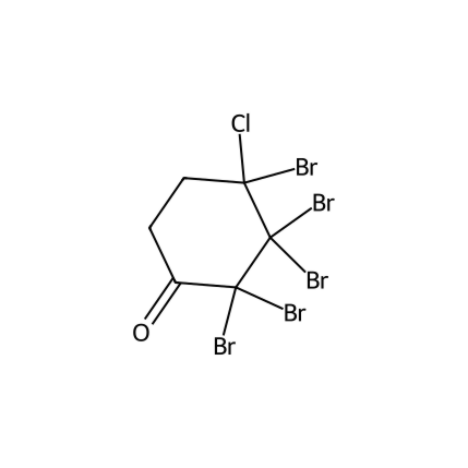 O=C1CCC(Cl)(Br)C(Br)(Br)C1(Br)Br